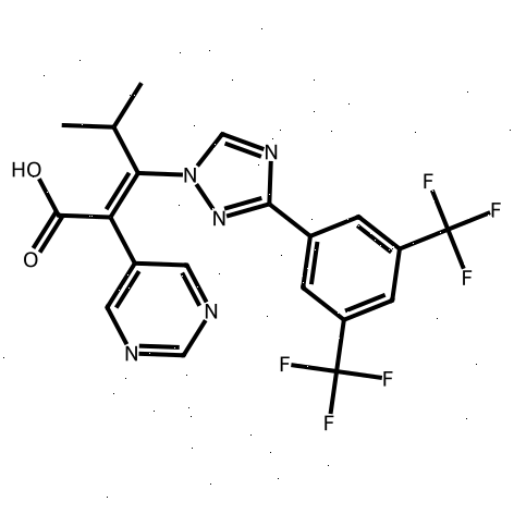 CC(C)C(=C(C(=O)O)c1cncnc1)n1cnc(-c2cc(C(F)(F)F)cc(C(F)(F)F)c2)n1